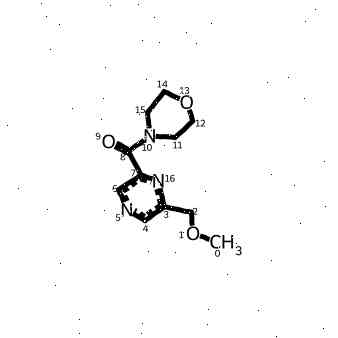 COCc1cncc(C(=O)N2CCOCC2)n1